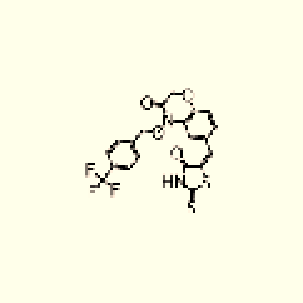 O=C1NC(=S)SC1=Cc1ccc2c(c1)N(OCc1ccc(C(F)(F)F)cc1)C(=O)CO2